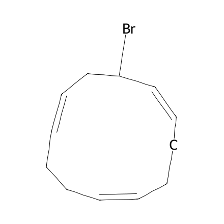 BrC1C=CCCC=CCCC=CC1